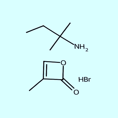 Br.CC1=COC1=O.CCC(C)(C)N